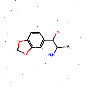 CC(N)C(O)c1ccc2c(c1)OCO2